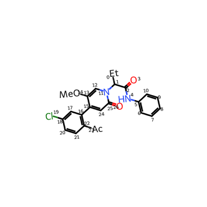 CCC(C(=O)Nc1ccccc1)n1cc(OC)c(-c2cc(Cl)ccc2C(C)=O)cc1=O